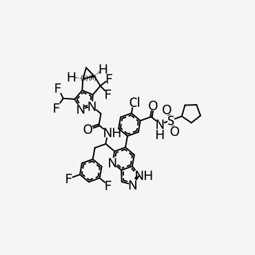 O=C(Cn1nc(C(F)F)c2c1C(F)(F)[C@@H]1C[C@H]21)NC(Cc1cc(F)cc(F)c1)c1nc2cn[nH]c2cc1-c1ccc(Cl)c(C(=O)NS(=O)(=O)C2CCCC2)c1